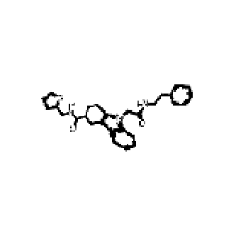 O=C(Cn1c2c(c3ccccc31)CC(C(=O)NCc1ccco1)CC2)NCCc1ccccc1